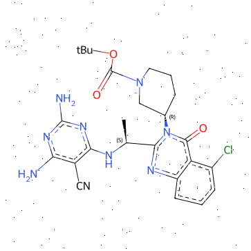 C[C@H](Nc1nc(N)nc(N)c1C#N)c1nc2cccc(Cl)c2c(=O)n1[C@@H]1CCCN(C(=O)OC(C)(C)C)C1